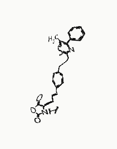 Cc1sc(CCc2ccc(C=CC=C3NC(=O)OC3=O)cc2)nc1-c1ccccc1